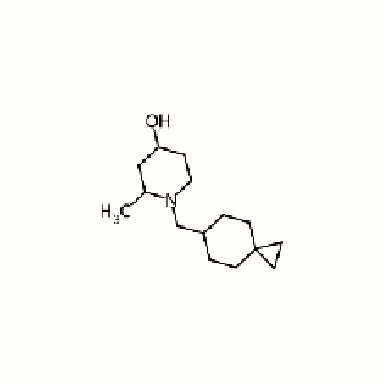 CC1CC(O)CCN1CC1CCC2(CC1)CC2